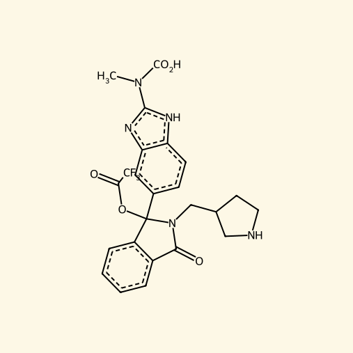 CN(C(=O)O)c1nc2cc(C3(OC(=O)C(F)(F)F)c4ccccc4C(=O)N3CC3CCNC3)ccc2[nH]1